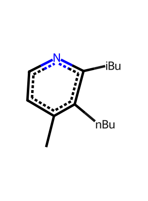 CCCCc1c(C)ccnc1C(C)CC